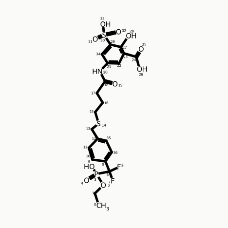 CCOP(=O)(O)C(F)(F)c1ccc(CSCCCC(=O)Nc2cc(C(=O)O)c(O)c(S(=O)(=O)O)c2)cc1